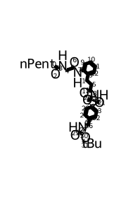 [CH2]CCCCC(=O)NCC(=O)Nc1ccccc1CCC(=O)NS(=O)(=O)c1ccc(CNC(=O)OC(C)(C)C)cc1